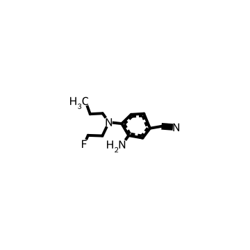 CCCN(CCF)c1ccc(C#N)cc1N